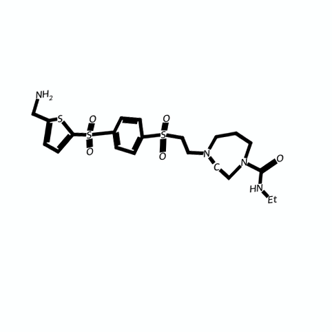 CCNC(=O)N1CCCN(CCS(=O)(=O)c2ccc(S(=O)(=O)c3ccc(CN)s3)cc2)CC1